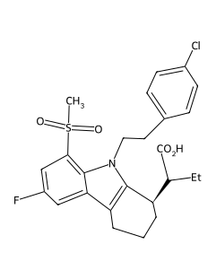 CCC(C(=O)O)[C@H]1CCCc2c1n(CCc1ccc(Cl)cc1)c1c(S(C)(=O)=O)cc(F)cc21